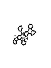 c1ccc(N(c2ccc3c4ccccc4c4ccccc4c3c2)c2cc3oc4ccccc4c3c3c2[nH]c2ccccc23)cc1